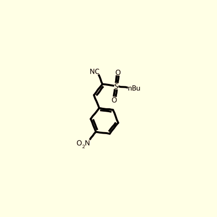 CCCCS(=O)(=O)C(C#N)=Cc1cccc([N+](=O)[O-])c1